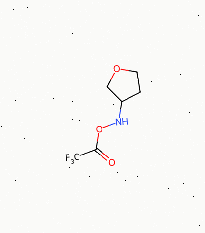 O=C(ONC1CCOC1)C(F)(F)F